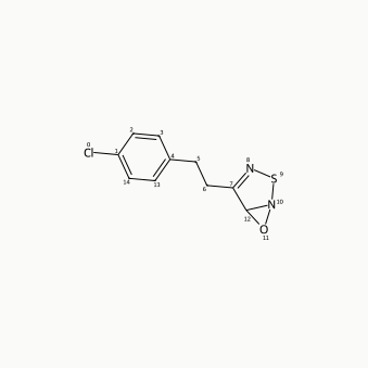 Clc1ccc(CCC2=NSN3OC23)cc1